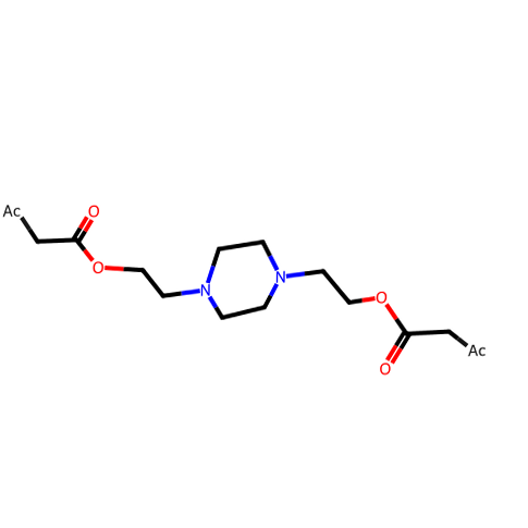 CC(=O)CC(=O)OCCN1CCN(CCOC(=O)CC(C)=O)CC1